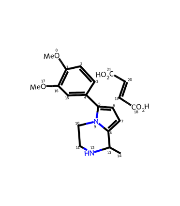 COc1ccc(-c2ccc3n2CCNC3C)cc1OC.O=C(O)C=CC(=O)O